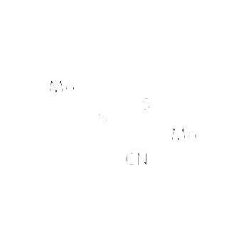 CC#N.[Mo][S][S][Mo]